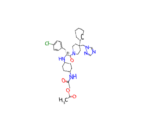 CC(=O)OCC(=O)N[C@H]1CC[C@@H](N[C@H](Cc2ccc(Cl)cc2)C(=O)N2CCC(Cn3cncn3)(C3CCCCC3)CC2)CC1